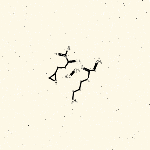 C=C.C=C(CCC1CO1)C(=O)O.C=CC(=O)OCCCC